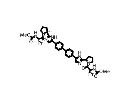 COC(=O)NC(C(=O)N1CCCC1c1ncc(-c2ccc(-c3ccc(-c4cnc([C@]5(C)CCCN5C(=O)[C@@H](NC(=O)OC)C(C)C)[nH]4)cc3)cc2)[nH]1)C(C)C